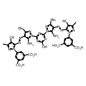 Cc1nn(-c2cc(C(=O)O)cc(C(=O)O)c2)c(N=Nc2c(C(C)(C)C)nn(-c3nc(O)nc(-n4nc(C(C)(C)C)c(N=Nc5c(C#N)c(C)nn5-c5cc(C(=O)O)cc(C(=O)O)c5)c4N)n3)c2N)c1C#N